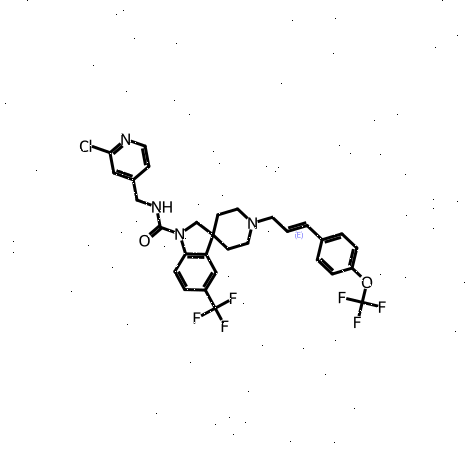 O=C(NCc1ccnc(Cl)c1)N1CC2(CCN(C/C=C/c3ccc(OC(F)(F)F)cc3)CC2)c2cc(C(F)(F)F)ccc21